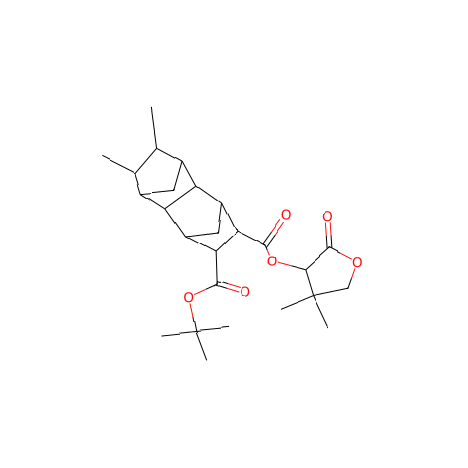 CC1C(C)C2CC1C1C3CC(C(C(=O)OC(C)(C)C)C3C(=O)OC3C(=O)OCC3(C)C)C21